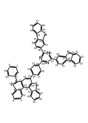 c1ccc(-c2nc3ccccc3c3c2cc(-c2ccc(-c4nc(-c5ccc6c(c5)sc5ccccc56)nc(-c5ccc6c(c5)sc5ccccc56)n4)cc2)c2sc4ccccc4c23)cc1